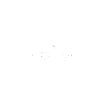 COc1cccc2c1CCNC2c1ccc(CF)cc1